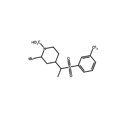 CC(C1CCN(C(=O)O)C(C(C)(C)C)C1)S(=O)(=O)c1cccc(C(F)(F)F)c1